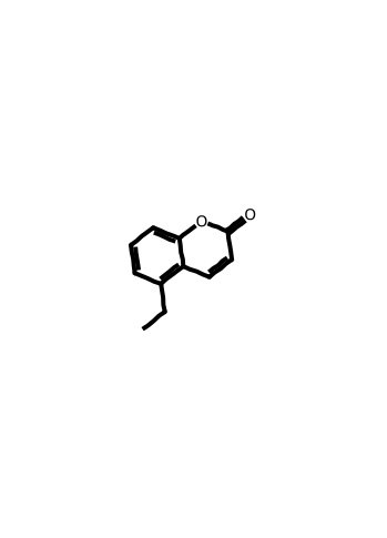 CCc1cccc2oc(=O)ccc12